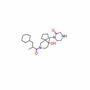 CC(CC1CCCCC1)C(=O)N1CCC(O)(CN2CCNCC2=O)C2(CCCC2)C1